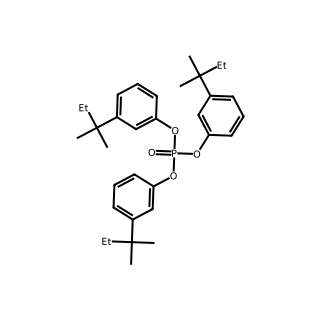 CCC(C)(C)c1cccc(OP(=O)(Oc2cccc(C(C)(C)CC)c2)Oc2cccc(C(C)(C)CC)c2)c1